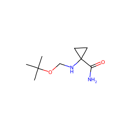 CC(C)(C)OCNC1(C(N)=O)CC1